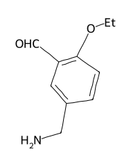 CCOc1ccc(CN)cc1C=O